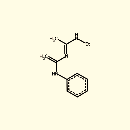 C=C(/N=C(\C)NCC)Nc1ccccc1